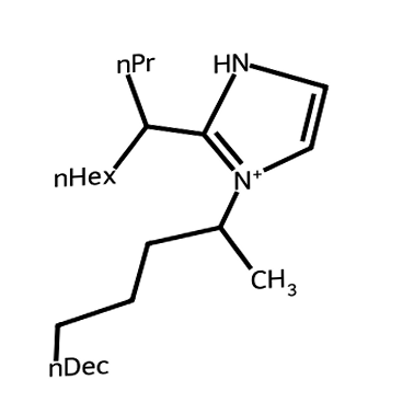 CCCCCCCCCCCCCC(C)[n+]1cc[nH]c1C(CCC)CCCCCC